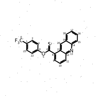 FC(F)(F)c1ccc(OC(=S)c2cccc3nc4ccccc4cc23)cc1